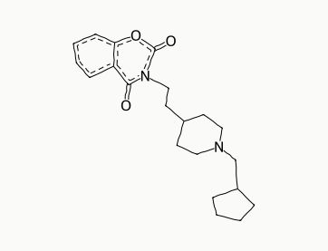 O=c1oc2ccccc2c(=O)n1CCC1CCN(CC2CCCC2)CC1